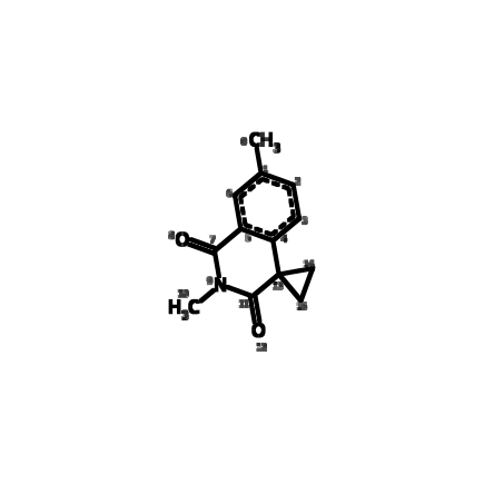 Cc1ccc2c(c1)C(=O)N(C)C(=O)C21CC1